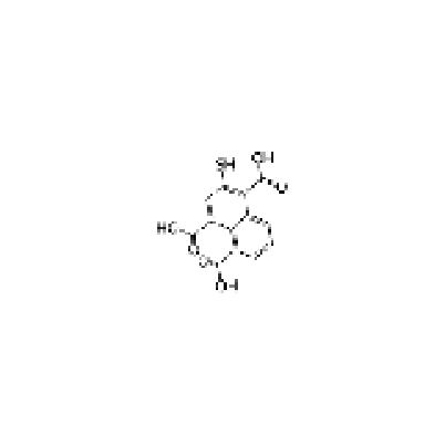 O=C(O)c1c(S)cc(C(=O)O)c2c(C(=O)O)cccc12